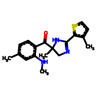 CNc1cc(C)ccc1C(=O)C1(C)CN=C(c2sccc2C)N1